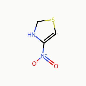 O=[N+]([O-])C1=[C]SCN1